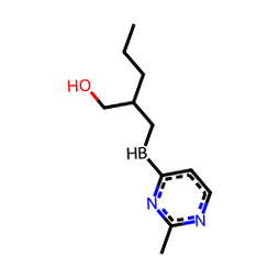 CCCC(CO)CBc1ccnc(C)n1